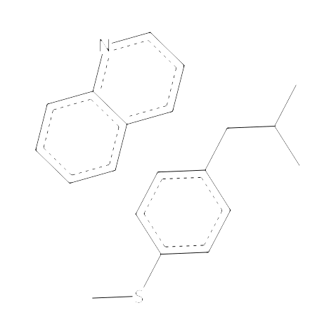 CSc1ccc(CC(C)C)cc1.c1ccc2ncccc2c1